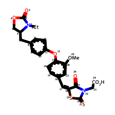 CCN1C(=O)OCC1Cc1ccc(Oc2ccc(/C=C3/SC(=S)N(CC(=O)O)C3=O)cc2OC)cc1